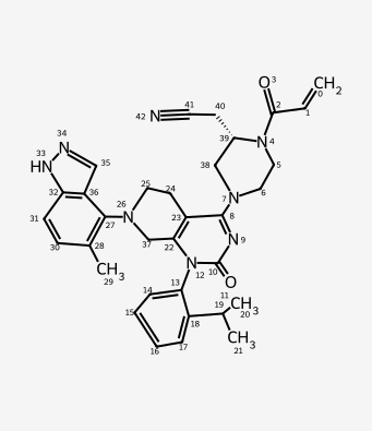 C=CC(=O)N1CCN(c2nc(=O)n(-c3ccccc3C(C)C)c3c2CCN(c2c(C)ccc4[nH]ncc24)C3)C[C@@H]1CC#N